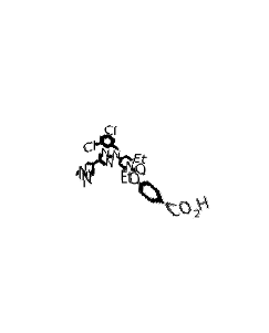 CC[C@@H]1C[C@H](N(Cc2cc(Cl)cc(Cl)c2)c2ncc(C3C=NN(C)C3)cn2)C[C@H](CC)N1C(=O)O[C@H]1CC[C@H](C(=O)O)CC1